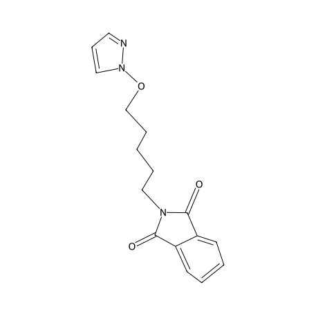 O=C1c2ccccc2C(=O)N1CCCCCOn1cccn1